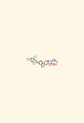 CC(CN1CCC2(CC1)COc1cc(OCc3c(Cl)cc(Cl)cc3Cl)ccc12)C(=O)O